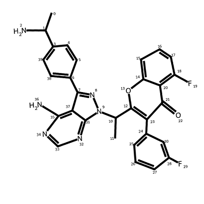 CC(N)c1ccc(-c2nn(C(C)c3oc4cccc(F)c4c(=O)c3-c3cccc(F)c3)c3ncnc(N)c23)cc1